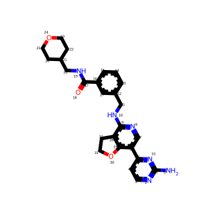 Nc1nccc(-c2cnc(NCc3cccc(C(=O)NCC4CCOCC4)c3)c3c2OCC3)n1